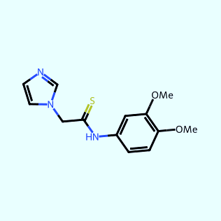 COc1ccc(NC(=S)Cn2ccnc2)cc1OC